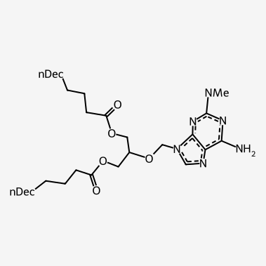 CCCCCCCCCCCCCC(=O)OCC(COC(=O)CCCCCCCCCCCCC)OCn1cnc2c(N)nc(NC)nc21